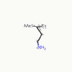 CCC(CCN)SC